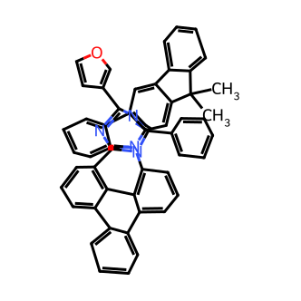 CC1(C)c2ccccc2-c2cc3c4ccccc4n(-c4cccc5c6ccccc6c6cccc(-c7nc(-c8ccccc8)nc(-c8ccoc8)n7)c6c45)c3cc21